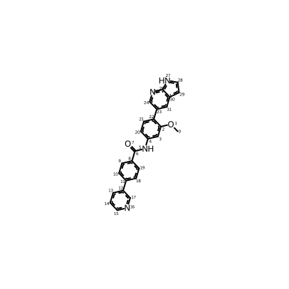 COc1cc(NC(=O)c2ccc(-c3cccnc3)cc2)ccc1-c1cnc2[nH]ccc2c1